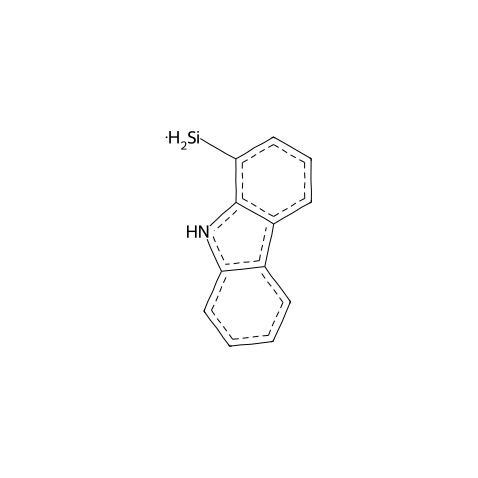 [SiH2]c1cccc2c1[nH]c1ccccc12